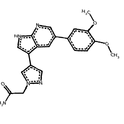 COc1ccc(-c2cnc3[nH]cc(-c4cnn(CC(N)=O)c4)c3c2)cc1OC